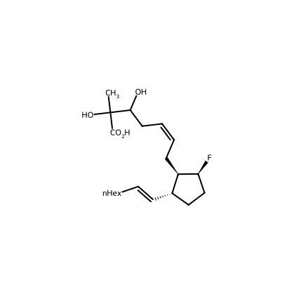 CCCCCC/C=C/[C@H]1CC[C@H](F)[C@@H]1C/C=C\CC(O)C(C)(O)C(=O)O